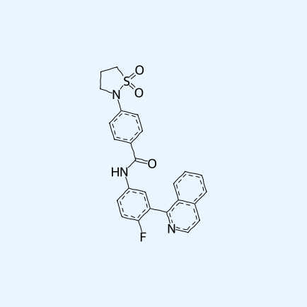 O=C(Nc1ccc(F)c(-c2nccc3ccccc23)c1)c1ccc(N2CCCS2(=O)=O)cc1